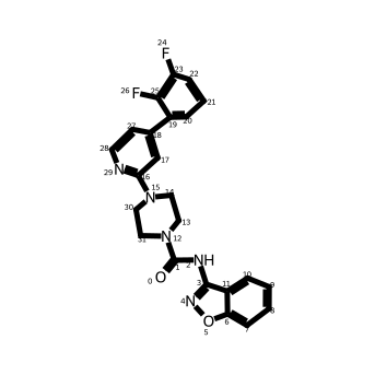 O=C(Nc1noc2ccccc12)N1CCN(c2cc(-c3cccc(F)c3F)ccn2)CC1